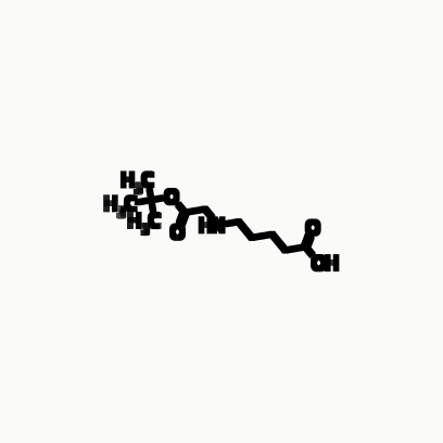 CC(C)(C)OC(=O)CNCCCCC(=O)O